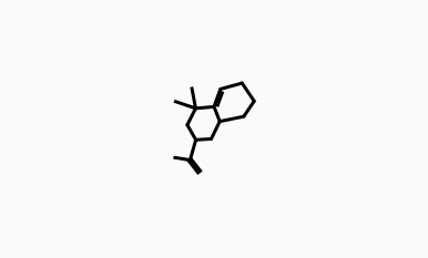 C=C(C)C1CC2CCCC=C2C(C)(C)C1